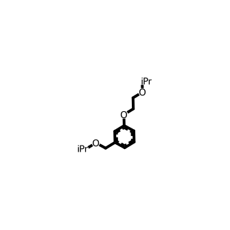 CC(C)OCCOc1cccc(COC(C)C)c1